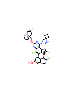 C#Cc1c(F)ccc2cc(O)cc(-c3c(F)c4nc(OC[C@@]56CCCN5C[C@H](F)C6)nc(NCC5(N(C)C)CCC5)c4c4cc(C)oc34)c12